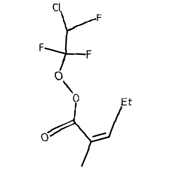 CCC=C(C)C(=O)OOC(F)(F)C(F)Cl